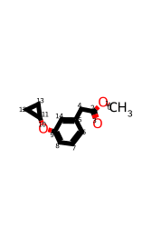 COC(=O)Cc1cccc(OC2CC2)c1